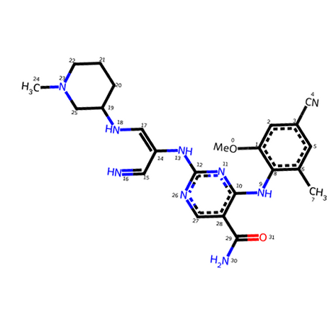 COc1cc(C#N)cc(C)c1Nc1nc(N/C(C=N)=C/NC2CCCN(C)C2)ncc1C(N)=O